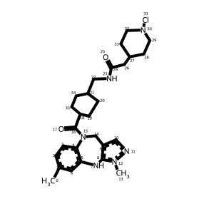 Cc1ccc2c(c1)Nc1c(cnn1C)CN2C(=O)C1CCC(CNC(=O)CC2CCN(Cl)CC2)CC1